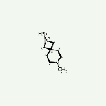 CN1CCC2(CC1)CN(S)C2